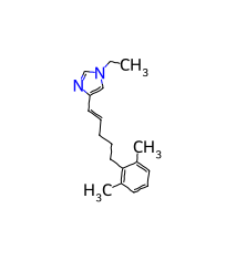 CCn1cnc(C=CCCCc2c(C)cccc2C)c1